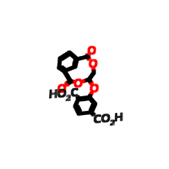 O=C(O)c1ccc(C(=O)O)c(OC2COC(=O)c3cccc(c3)C(=O)O2)c1